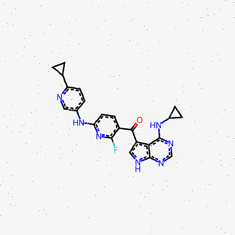 O=C(c1ccc(Nc2ccc(C3CC3)nc2)nc1F)c1c[nH]c2ncnc(NC3CC3)c12